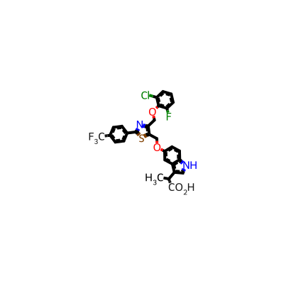 CC(C(=O)O)c1c[nH]c2ccc(OCc3sc(-c4ccc(C(F)(F)F)cc4)nc3COc3c(F)cccc3Cl)cc12